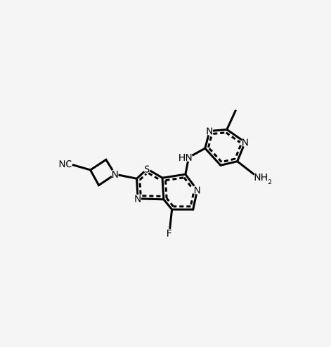 Cc1nc(N)cc(Nc2ncc(F)c3nc(N4CC(C#N)C4)sc23)n1